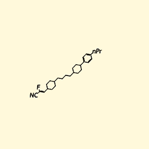 CCCc1ccc(C2CCC(CCCCC3CCC(C=C(F)C#N)CC3)CC2)cc1